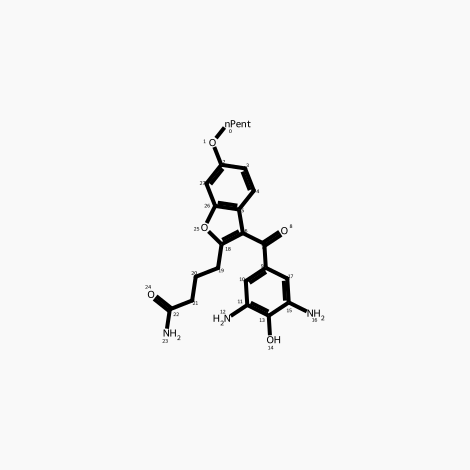 CCCCCOc1ccc2c(C(=O)c3cc(N)c(O)c(N)c3)c(CCCC(N)=O)oc2c1